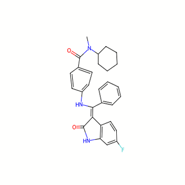 CN(C(=O)c1ccc(N/C(=C2\C(=O)Nc3cc(F)ccc32)c2ccccc2)cc1)C1CCCCC1